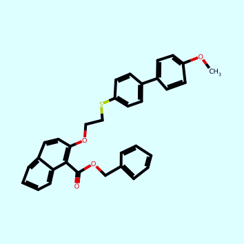 COc1ccc(-c2ccc(SCCOc3ccc4ccccc4c3C(=O)OCc3ccccc3)cc2)cc1